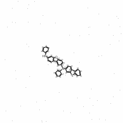 c1ccc(Nc2ccc3c(c2)oc2ccc(N(c4ccccc4)c4ccc5c(c4)sc4ccccc45)cc23)cc1